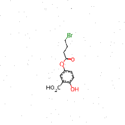 O=C(CCCBr)Oc1ccc(O)c(C(=O)O)c1